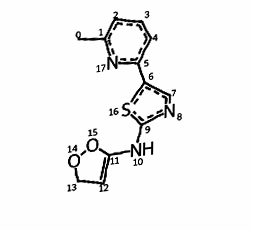 Cc1cccc(-c2cnc(NC3=CCOO3)s2)n1